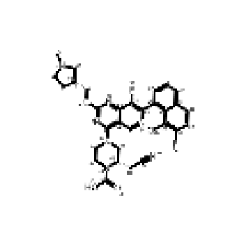 CN1CC[C@@H](COc2nc(N3CCN(C(=O)O)[C@@H](CC#N)C3)c3cnc(-c4cccc5ccc(F)c(Cl)c45)c(F)c3n2)C1